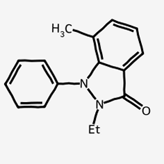 CCn1c(=O)c2cccc(C)c2n1-c1ccccc1